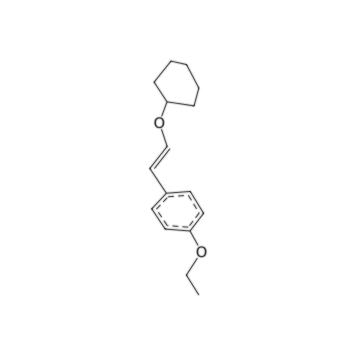 CCOc1ccc(C=COC2CCCCC2)cc1